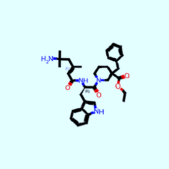 CCOC(=O)C1(Cc2ccccc2)CCCN(C(=O)[C@@H](Cc2c[nH]c3ccccc23)NC(=O)/C=C(\C)CC(C)(C)N)C1